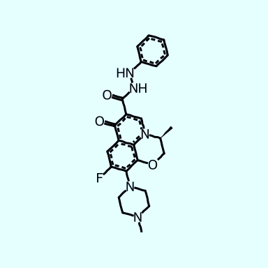 C[C@H]1COc2c(N3CCN(C)CC3)c(F)cc3c(=O)c(C(=O)NNc4ccccc4)cn1c23